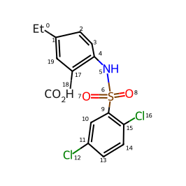 CCc1ccc(NS(=O)(=O)c2cc(Cl)ccc2Cl)c(C(=O)O)c1